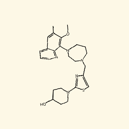 COc1c(C)cc2cccnc2c1N1CCCN(Cc2csc(N3CCC(O)CC3)n2)CC1